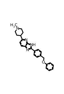 CN1CCC(c2ccc3nc(-c4ccc(COc5ccccc5)cc4)[nH]c3n2)CC1